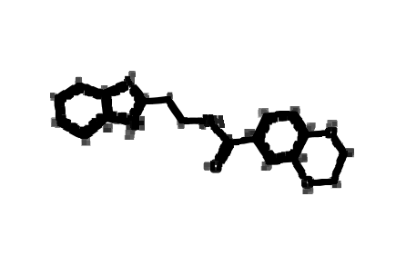 O=C(NCCc1nc2ccccc2[nH]1)c1ccc2c(c1)OCCO2